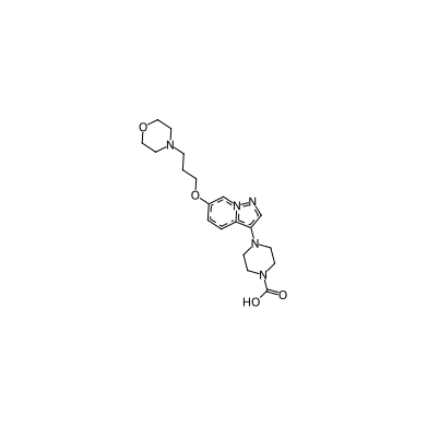 O=C(O)N1CCN(c2cnn3cc(OCCCN4CCOCC4)ccc23)CC1